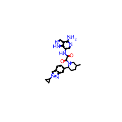 CC1CCC(c2ccc3cn(C4CC4)nc3c2)N(C(=O)C(=O)Nc2cnc(N)c3cn[nH]c23)C1